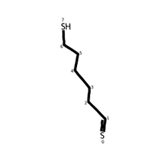 S=CCCCCCS